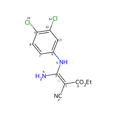 CCOC(=O)/C(C#N)=C(/N)Nc1ccc(Cl)c(Cl)c1